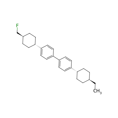 CC[C@H]1CC[C@H](c2ccc(-c3ccc([C@H]4CC[C@H](CF)CC4)cc3)cc2)CC1